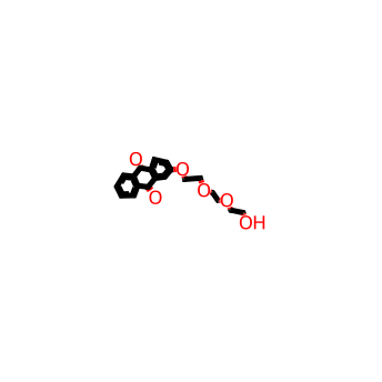 O=C1c2ccccc2C(=O)c2cc(OCCOCCOCCO)ccc21